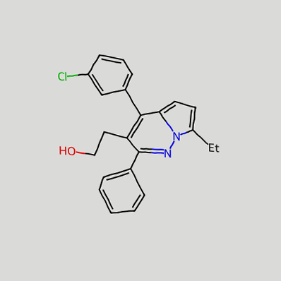 CCc1ccc2c(-c3cccc(Cl)c3)c(CCO)c(-c3ccccc3)nn12